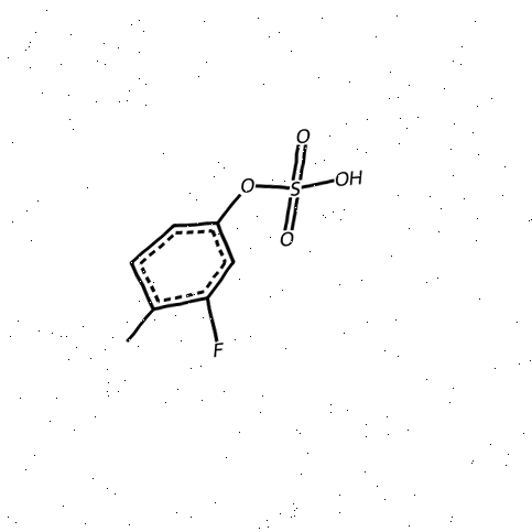 Cc1ccc(OS(=O)(=O)O)cc1F